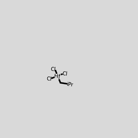 CC(C)[CH2][Hf]([Cl])([Cl])[Cl]